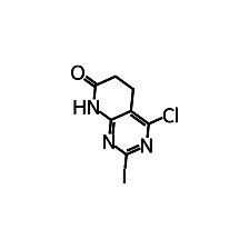 O=C1CCc2c(Cl)nc(I)nc2N1